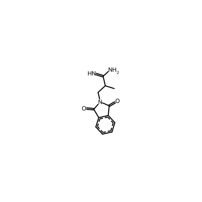 CC(CN1C(=O)c2ccccc2C1=O)C(=N)N